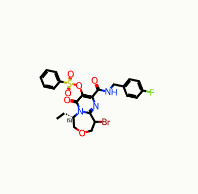 CC[C@H]1COCC(Br)c2nc(C(=O)NCc3ccc(F)cc3)c(OS(=O)(=O)c3ccccc3)c(=O)n21